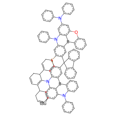 CC(C)(C)c1cc2c3c(c1)N(c1ccccc1)c1ccccc1B3c1cc3c(cc1N2C1=C(C2C=CC=CC2)C=CCC1C1=CCCC=C1)Sc1cc2c(cc1C31c3ccccc3-c3ccccc31)B1c3ccccc3Oc3cc(N(c4ccccc4)c4ccccc4)cc(c31)N2c1ccccc1